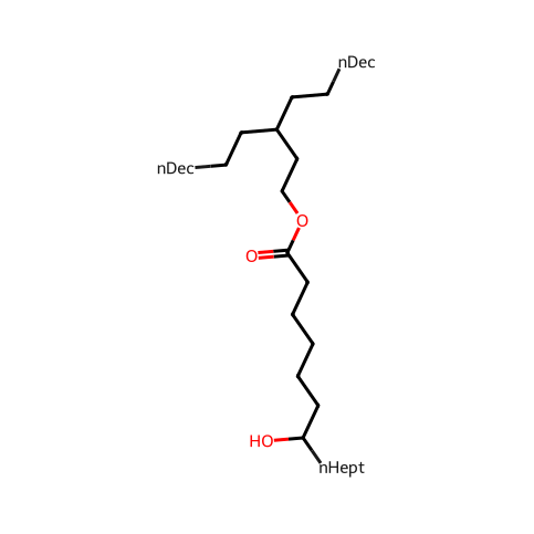 CCCCCCCCCCCCC(CCCCCCCCCCCC)CCOC(=O)CCCCCC(O)CCCCCCC